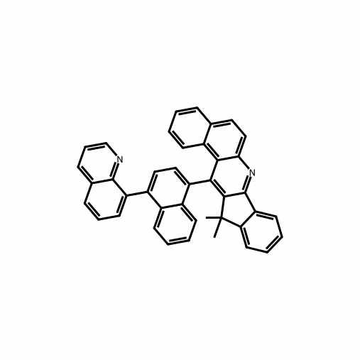 CC1(C)c2ccccc2-c2nc3ccc4ccccc4c3c(-c3ccc(-c4cccc5cccnc45)c4ccccc34)c21